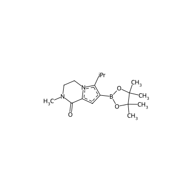 CC(C)c1c(B2OC(C)(C)C(C)(C)O2)cc2n1CCN(C)C2=O